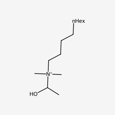 CCCCCCCCCC[N+](C)(C)C(C)O